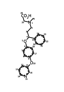 CN(CCC(Oc1ccc(Oc2cccnc2)cc1)c1ccccc1)CC(=O)O